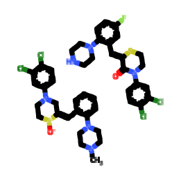 CN1CCN(c2ccccc2C=C2CN(c3ccc(Cl)c(Cl)c3)CC[S+]2[O-])CC1.O=C1C(=Cc2cc(F)ccc2N2CCNCC2)SCCN1c1ccc(Cl)c(Cl)c1